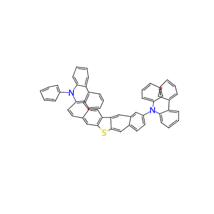 c1ccc(-c2ccccc2N(c2ccccc2)c2ccc3cc4sc5cc6ccc(N(c7ccccc7)c7ccccc7-c7ccccc7)cc6cc5c4cc3c2)cc1